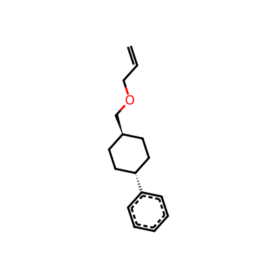 C=CCOC[C@H]1CC[C@H](c2ccccc2)CC1